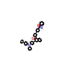 c1ccc(-c2ccc(N(c3ccccc3)c3ccc(-c4cc5ccccc5c5c4oc4ccc(-c6ccc(-c7nc8ccccc8o7)cc6)cc45)cc3)cc2)cc1